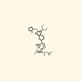 CCC(CC)n1c(Cc2cccs2)nc2cc(C(=O)N[C@@H](CC(C)C)C(=O)NC(C)COC)ccc21